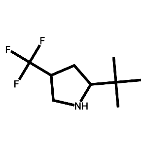 CC(C)(C)C1CC(C(F)(F)F)CN1